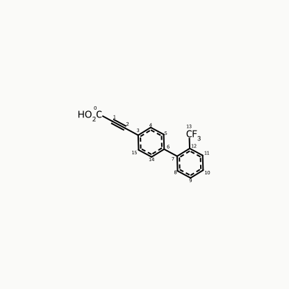 O=C(O)C#Cc1ccc(-c2ccccc2C(F)(F)F)cc1